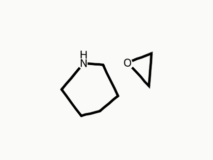 C1CCNCC1.C1CO1